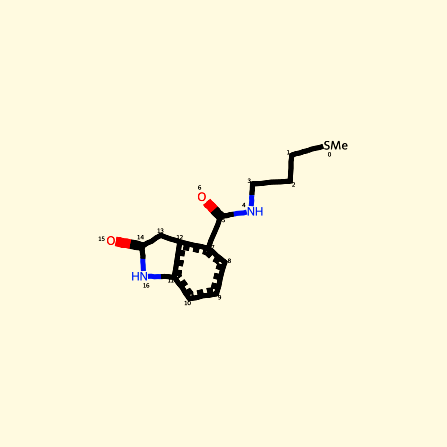 CSCCCNC(=O)c1cccc2c1CC(=O)N2